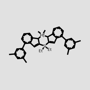 CC[Si]1(CC)C2=Cc3c(-c4cc(C)cc(C)c4)cccc3[CH]2[Hf]([CH3])([CH3])[CH]2C1=Cc1c(-c3cc(C)cc(C)c3)cccc12